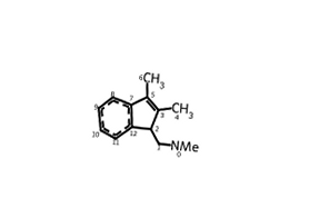 CNCC1C(C)=C(C)c2ccccc21